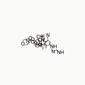 Cc1c(Nc2ccc(N/C=N\C=N)cc2C#N)ncnc1OC1CC2COCC(C1)N2C(=O)OCC(C)(C)C